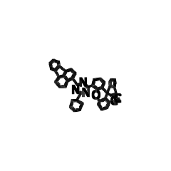 c1ccc(-c2nc(-c3cccc4c3Oc3ccccc3C43c4ccccc4-c4ccccc43)nc(-c3ccc4c5c(cccc35)-c3ccccc3-4)n2)cc1